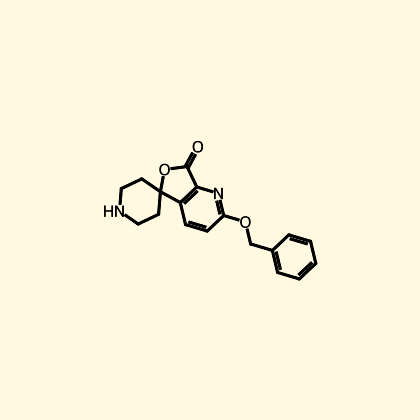 O=C1OC2(CCNCC2)c2ccc(OCc3ccccc3)nc21